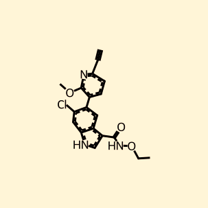 C#Cc1ccc(-c2cc3c(C(=O)NOCC)c[nH]c3cc2Cl)c(OC)n1